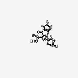 CNC(=O)c1c(N(C=O)C(C)C)nc(-c2ccc(Cl)nc2C)n1Cc1ccc(F)cc1